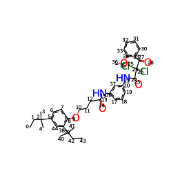 CCC(C)(C)c1ccc(OCCCC(=O)Nc2cccc(NC(=O)C(Cl)(Cl)C(=O)c3ccccc3OC)c2)c(C(C)(C)CC)c1